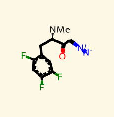 CN[C@H](Cc1cc(F)c(F)cc1F)C(=O)C=[N+]=[N-]